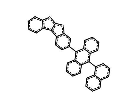 c1ccc2c(-c3c4ccccc4c(-c4ccc5c(c4)sc4sc6ccccc6c45)c4ccccc34)cccc2c1